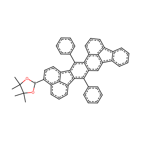 CC1(C)OB(c2ccc3c4c(-c5ccccc5)c5c(cc6c7ccccc7c7cccc5c76)c(-c5ccccc5)c4c4cccc2c43)OC1(C)C